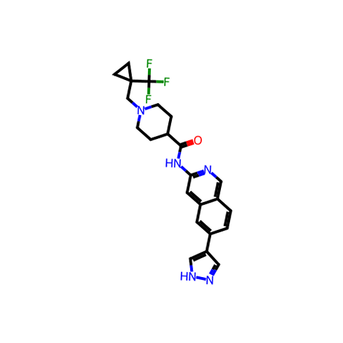 O=C(Nc1cc2cc(-c3cn[nH]c3)ccc2cn1)C1CCN(CC2(C(F)(F)F)CC2)CC1